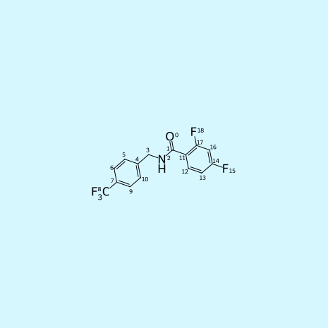 O=C(NCc1ccc(C(F)(F)F)cc1)c1ccc(F)cc1F